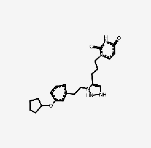 O=c1ccn(CCCC2=CNNN2CCc2cccc(OC3CCCC3)c2)c(=O)[nH]1